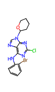 Clc1nc(Nc2ccccc2Br)c2ncn(C3CCCCO3)c2n1